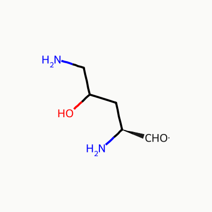 NCC(O)C[C@H](N)[C]=O